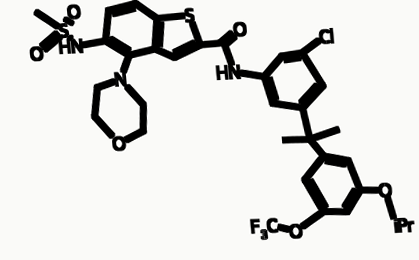 CC(C)Oc1cc(OC(F)(F)F)cc(C(C)(C)c2cc(Cl)cc(NC(=O)c3cc4c(N5CCOCC5)c(NS(C)(=O)=O)ccc4s3)c2)c1